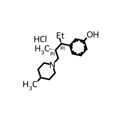 CC[C@@H](c1cccc(O)c1)[C@@H](C)CN1CCC(C)CC1.Cl